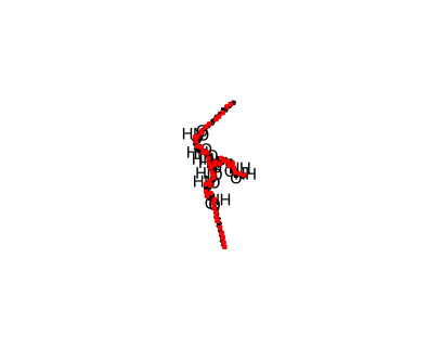 CCCCCCCCCCCCCCCCCCOC(=O)Nc1ccc(Cc2ccc(NC(=O)C(C)(C)C(=O)NCCN(CCNC(=O)C(C)(C)C(=O)Nc3ccc(Cc4ccc(NC(=O)OCCCCCCCCCCCCCCCCCC)cc4)cc3)C(=O)Nc3ccc(Cc4ccc(NC(=O)C(C)(C)C(=O)NCCC)cc4)cc3)cc2)cc1